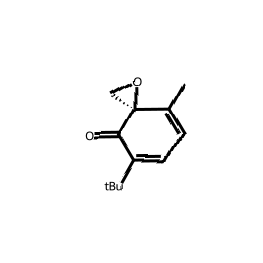 CC1=CC=C(C(C)(C)C)C(=O)[C@]12CO2